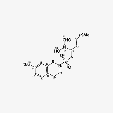 CSCCC(CS(=O)(=O)N1CCc2ccc(C(C)(C)C)cc2C1)N(O)C=O